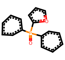 O=P(c1ccccc1)(c1ccccc1)c1ccco1